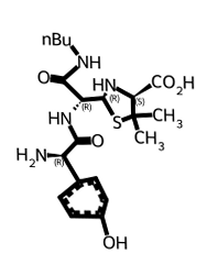 CCCCNC(=O)[C@@H](NC(=O)[C@H](N)c1ccc(O)cc1)[C@@H]1N[C@@H](C(=O)O)C(C)(C)S1